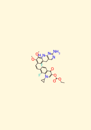 CCOC(=O)Oc1cn(C2CC2)c2c(F)c(/C=C\c3cc(Cc4cnc(N)nc4N)cc(OC)c3OC)c(F)cc2c1=O